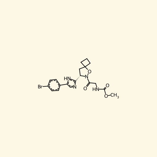 COC(=O)NCC(=O)N1OC2(CCC2)C[C@H]1c1ncc(-c2ccc(Br)cc2)[nH]1